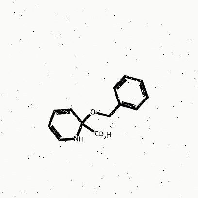 O=C(O)C1(OCc2ccccc2)C=CC=CN1